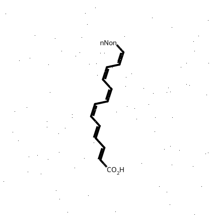 CCCCCCCCC\C=C/C=C\C=C/C=C\C=C\C=C\C(=O)O